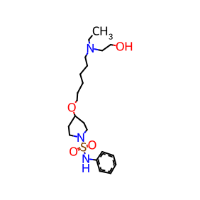 CCN(CCO)CCCCCCOC1CCN(S(=O)(=O)Nc2ccccc2)CC1